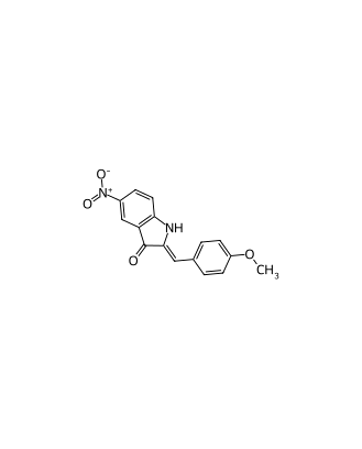 COc1ccc(/C=C2\Nc3ccc([N+](=O)[O-])cc3C2=O)cc1